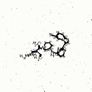 C=C/C(=C\NN)C(=C)N1CCC[C@@H](Nc2ccnc(-c3cnc4ccc(F)cn34)n2)C1